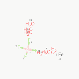 F[B-](F)(F)F.O.O.O.O.O.O.[Fe]